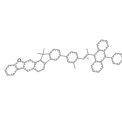 C/C(=C\c1ccc(-c2ccc3c(c2)-c2ccc4cc5c(cc4c2C3(C)C)oc2ccccc25)cc1C)c1c2ccccc2c(-c2ccccc2)c2ccccc12